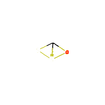 S=S123SC1(S2)S3